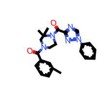 Cc1cccc(C(=O)N2CCN(C(=O)c3ncn(-c4ccccc4)n3)C(C)(C)C2)c1